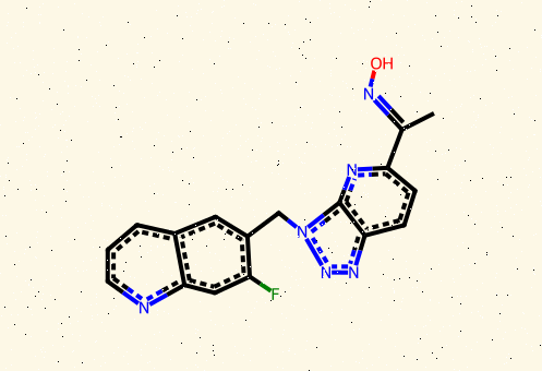 CC(=NO)c1ccc2nnn(Cc3cc4cccnc4cc3F)c2n1